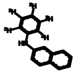 [2H]c1c([2H])c([2H])c(Nc2ccc3ccccc3c2)c([2H])c1[2H]